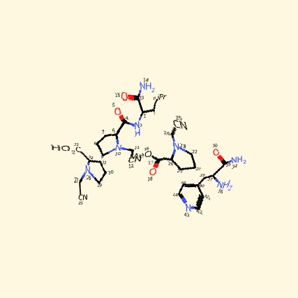 CC(C)CC(NC(=O)C1CCCN1CC#N)C(N)=O.COC(=O)C1CCCN1CC#N.N#CCN1CCCC1C(=O)O.NC(=O)C(N)Cc1ccncc1